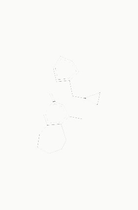 O=c1oc2c(c(O)c1[C@H](c1ccccc1)C1CC1)CCCCC2